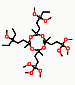 CC[Si](CC)(CC[Si]1(C)O[Si](C)(CC[Si](CC)(OC)OC)O[Si](C)(CC[Si](OC)(OC)OC)O[Si](C)(CC[Si](OC)(OC)OC)O1)OC